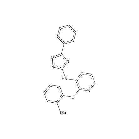 CC(C)(C)c1ccccc1Oc1ncccc1Nc1noc(-c2ccccc2)n1